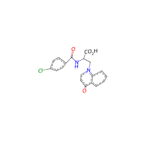 O=C(NC(Cn1ccc(=O)c2ccccc21)C(=O)O)c1ccc(Cl)cc1